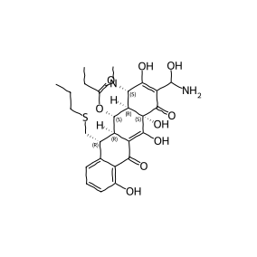 CCCSC[C@H]1c2cccc(O)c2C(=O)C2=C(O)[C@]3(O)C(=O)C(C(N)O)=C(O)[C@@H](N(C)C)[C@@H]3[C@@H](OC(=O)CC)[C@@H]21